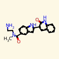 CN(CCN)C(=O)c1ccc2[nH]c(-c3cc4ccccc4[nH]c3=O)cc2c1